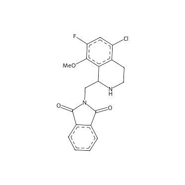 COc1c(F)cc(Cl)c2c1C(CN1C(=O)c3ccccc3C1=O)NCC2